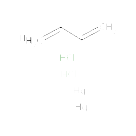 C=CC=C.Cl.Cl.[Hg].[Hg].[Hg]